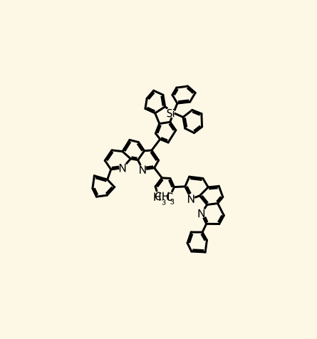 C/C=C(\C=C(/C)c1ccc2ccc3ccc(-c4ccccc4)nc3c2n1)c1cc(-c2ccc3c(c2)-c2ccccc2[Si]3(c2ccccc2)c2ccccc2)c2ccc3ccc(-c4ccccc4)nc3c2n1